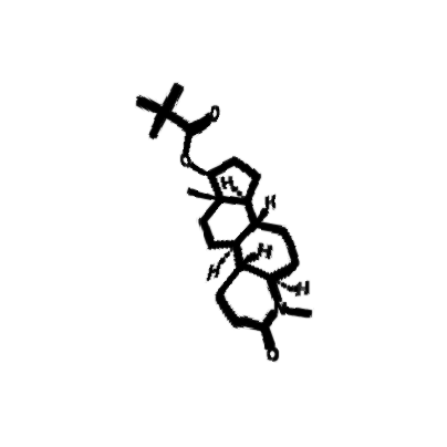 CN1C(=O)CC[C@@H]2[C@H]3CC[C@]4(C)[C@@H](OC(=O)C(C)(C)C)CC[C@H]4[C@@H]3CC[C@H]21